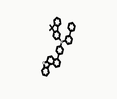 CC1(C)c2ccccc2-c2cc(N(c3ccc(-c4cccc5c4ccc4oc6ccccc6c45)cc3)c3cccc(-c4ccccc4)c3)ccc21